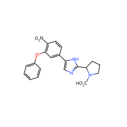 O=C(O)N1CCCC1c1ncc(-c2ccc([N+](=O)[O-])c(Oc3ccccc3)c2)[nH]1